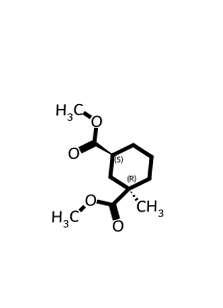 COC(=O)[C@H]1CCC[C@@](C)(C(=O)OC)C1